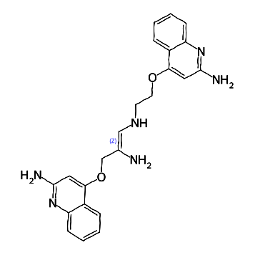 N/C(=C\NCCOc1cc(N)nc2ccccc12)COc1cc(N)nc2ccccc12